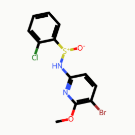 COc1nc(N[S+]([O-])c2ccccc2Cl)ccc1Br